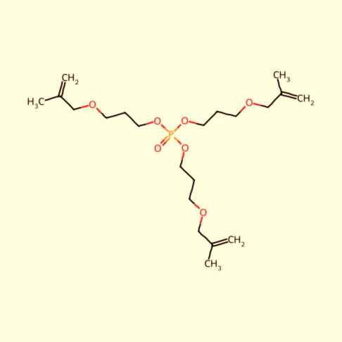 C=C(C)COCCCOP(=O)(OCCCOCC(=C)C)OCCCOCC(=C)C